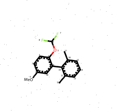 COc1ccc(OC(F)F)c(-c2c(C)cccc2C)c1